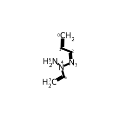 C=C/C=N\N(N)C=C